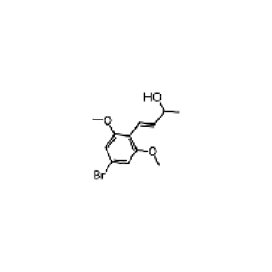 COc1cc(Br)cc(OC)c1/C=C/C(C)O